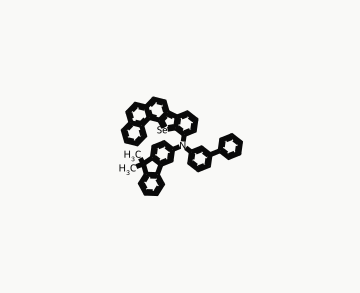 CC1(C)c2ccccc2-c2cc(N(c3cccc(-c4ccccc4)c3)c3cccc4c3[se]c3c4ccc4ccc5ccccc5c43)ccc21